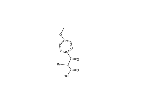 COc1ccc(C(=O)C(Br)C(=O)O)cc1